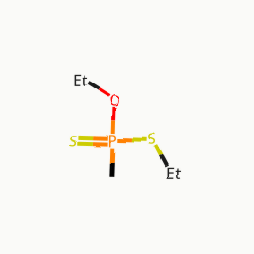 CCOP(C)(=S)SCC